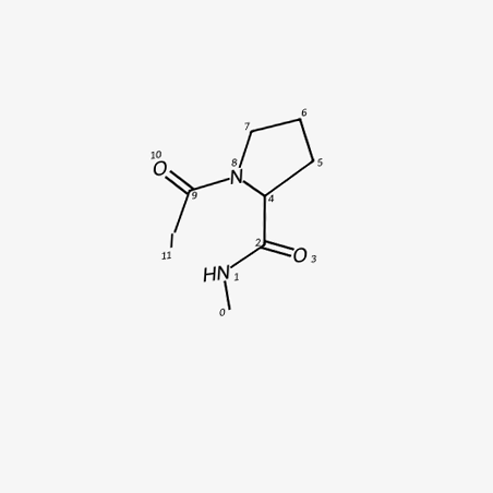 CNC(=O)C1CCCN1C(=O)I